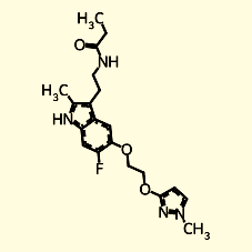 CCC(=O)NCCc1c(C)[nH]c2cc(F)c(OCCOc3ccn(C)n3)cc12